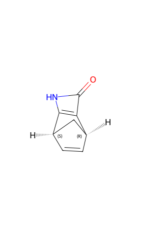 O=C1NC2=C1[C@H]1C=C[C@@H]2C1